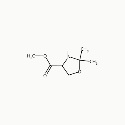 COC(=O)C1COC(C)(C)N1